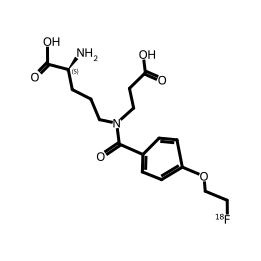 N[C@@H](CCCN(CCC(=O)O)C(=O)c1ccc(OCC[18F])cc1)C(=O)O